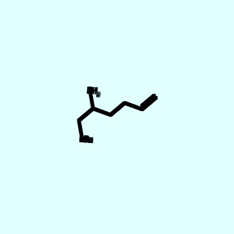 BC(CCC=C)CCCCC